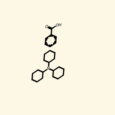 C1CCC(N(C2CCCCC2)C2CCCCC2)CC1.O=C(O)c1ccccc1